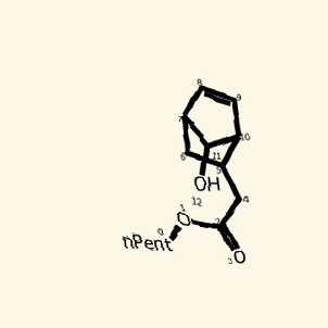 CCCCCOC(=O)CC1CC2C=CC1C2O